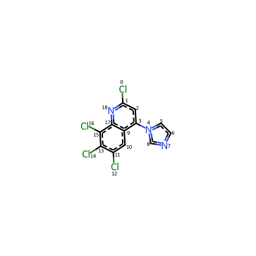 Clc1cc(-n2ccnc2)c2cc(Cl)c(Cl)c(Cl)c2n1